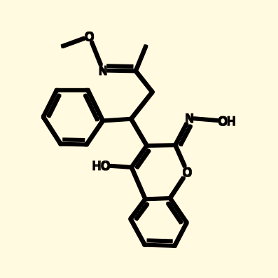 CON=C(C)CC(c1ccccc1)c1c(O)c2ccccc2oc1=NO